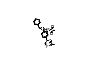 C[SiH2]O[C@@H](CI)c1ccc(OCc2ccccc2)c(NS(C)(=O)=O)c1